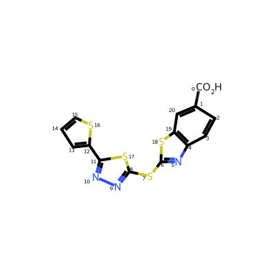 O=C(O)c1ccc2nc(Sc3nnc(-c4cccs4)s3)sc2c1